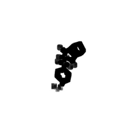 Cc1ccc(S(=O)(=O)[N+]2([O-])C(=O)C3=C(C2=O)C2C=CC3C2)cc1